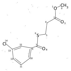 COC(=O)CCSC(=O)c1cccc(Cl)c1